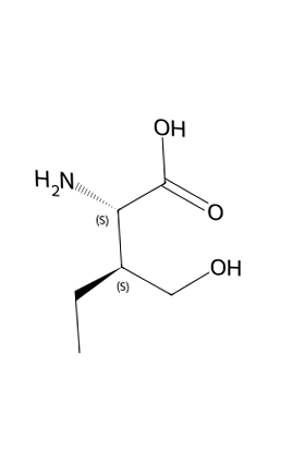 CC[C@H](CO)[C@H](N)C(=O)O